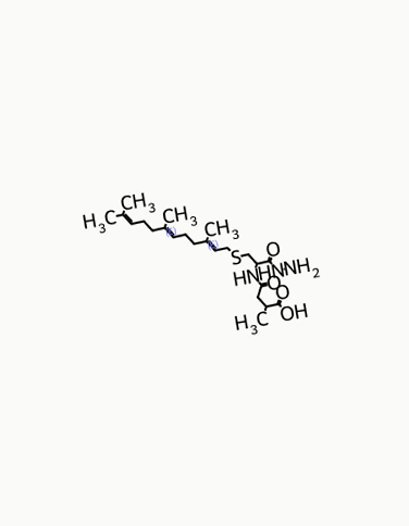 CC(C)=CCC/C(C)=C/CC/C(C)=C/CSCC(NC(=O)CC(C)C(=O)O)C(=O)NN